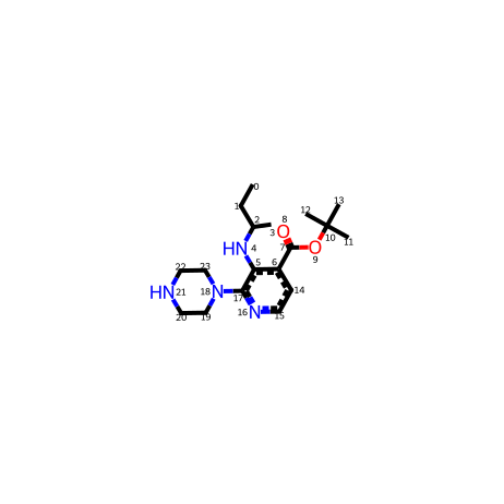 CCC(C)Nc1c(C(=O)OC(C)(C)C)ccnc1N1CCNCC1